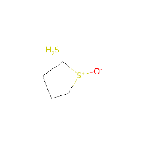 S.[O-][S+]1CCCC1